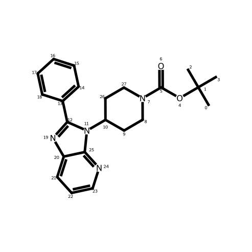 CC(C)(C)OC(=O)N1CCC(n2c(-c3ccccc3)nc3cccnc32)CC1